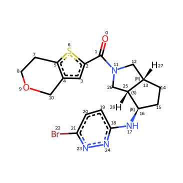 O=C(c1cc2c(s1)CCOC2)N1C[C@@H]2CC[C@@H](Nc3ccc(Br)nn3)[C@@H]2C1